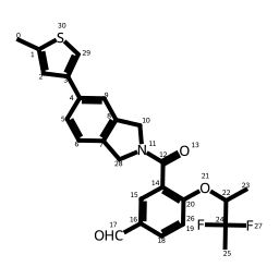 Cc1cc(-c2ccc3c(c2)CN(C(=O)c2cc(C=O)ccc2OC(C)C(C)(F)F)C3)cs1